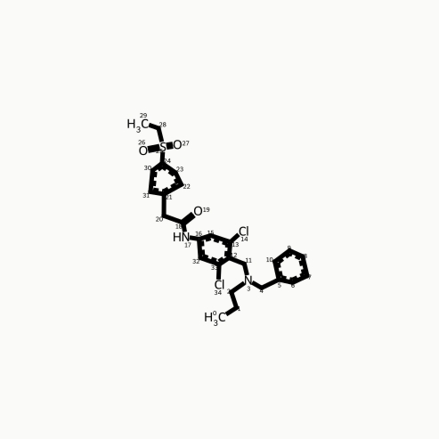 CCCN(Cc1ccccc1)Cc1c(Cl)cc(NC(=O)Cc2ccc(S(=O)(=O)CC)cc2)cc1Cl